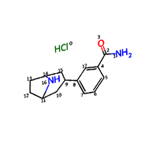 Cl.NC(=O)c1cccc(C2CC3CCC(C2)N3)c1